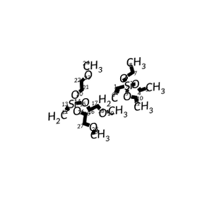 C=C[Si](OCC)(OCC)OCC.C=C[Si](OCCOC)(OCCOC)OCCOC